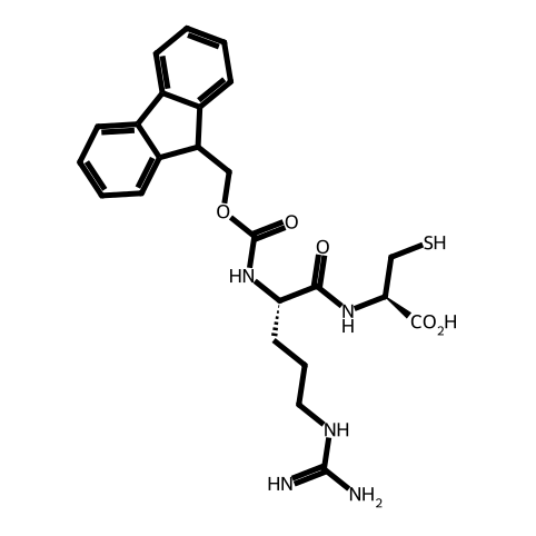 N=C(N)NCCC[C@H](NC(=O)OCC1c2ccccc2-c2ccccc21)C(=O)N[C@@H](CS)C(=O)O